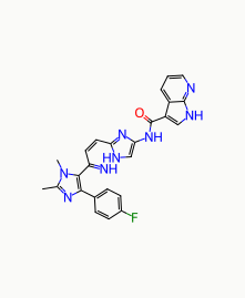 Cc1nc(-c2ccc(F)cc2)c(C(=N)/C=C\c2nc(NC(=O)c3c[nH]c4ncccc34)c[nH]2)n1C